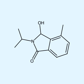 Cc1cccc2c1C(O)N(C(C)C)C2=O